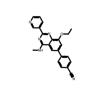 CCOc1cc(-c2ccc(C#N)cc2)cc2c(NC)nc(-c3cccnc3)nc12